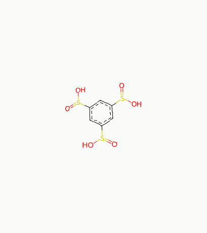 O=S(O)c1cc(S(=O)O)cc(S(=O)O)c1